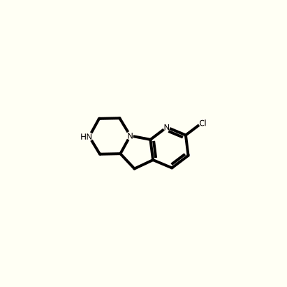 Clc1ccc2c(n1)N1CCNCC1C2